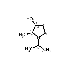 CC(C)N1CC[C@H](O)[C@@H]1C